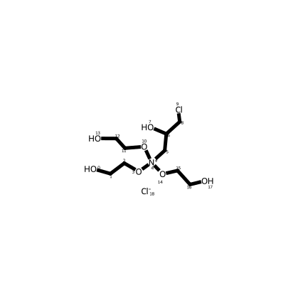 OCCO[N+](CC(O)CCl)(OCCO)OCCO.[Cl-]